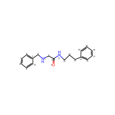 O=C(CNCc1ccccc1)NCCCc1ccccc1